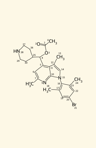 CC(=O)OC(c1cc(C)nc2c1c(C)cn2-c1c(C)cc(Br)cc1C)C1CCNCC1